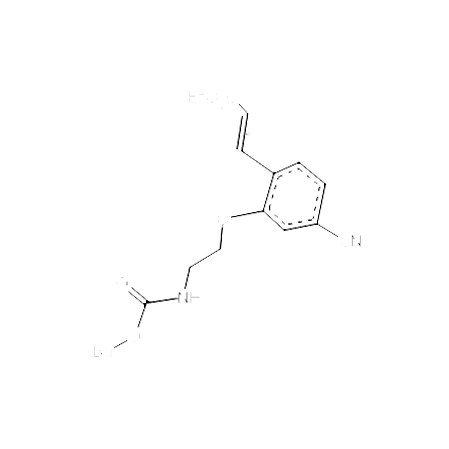 CCOC(=O)/C=C/c1ccc(C#N)cc1OCCNC(=O)OC(C)(C)C